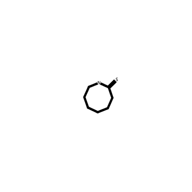 S=C1CCCCCC[N]1